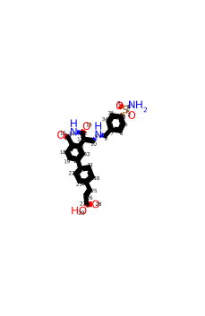 NS(=O)(=O)c1ccc(CNC=C2C(=O)NC(=O)c3ccc(-c4ccc(C=CC(=O)O)cc4)cc32)cc1